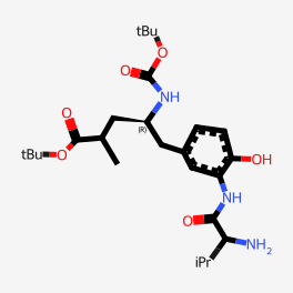 CC(C[C@H](Cc1ccc(O)c(NC(=O)C(N)C(C)C)c1)NC(=O)OC(C)(C)C)C(=O)OC(C)(C)C